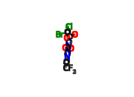 O=C1CC2(CCN(S(=O)(=O)N3CCN(c4ccc(C(F)(F)F)cc4)CC3)CC2)Oc2c(Br)cc(Cl)cc21